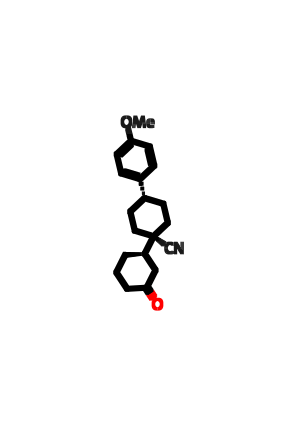 COc1ccc([C@H]2CC[C@@](C#N)([C@@H]3CCCC(=O)C3)CC2)cc1